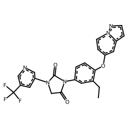 CCc1cc(N2C(=O)CN(c3cncc(C(F)(F)F)c3)C2=O)ccc1Oc1ccn2nccc2c1